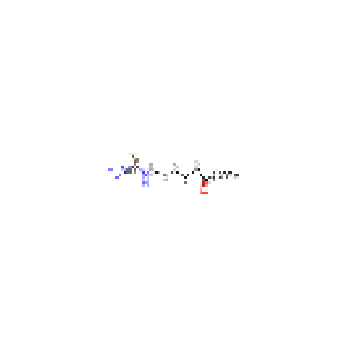 COC(=O)CCCCCNC(N)=S